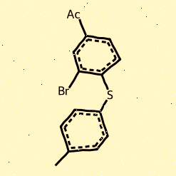 CC(=O)c1ccc(Sc2ccc(C)cc2)c(Br)c1